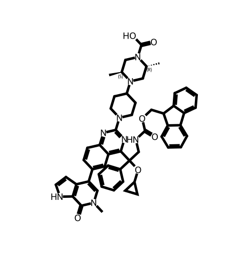 C[C@@H]1CN(C2CCN(c3nc(C(CNC(=O)OCC4c5ccccc5-c5ccccc54)(OC4CC4)c4ccccc4)c4cc(-c5cn(C)c(=O)c6[nH]ccc56)ccc4n3)CC2)[C@@H](C)CN1C(=O)O